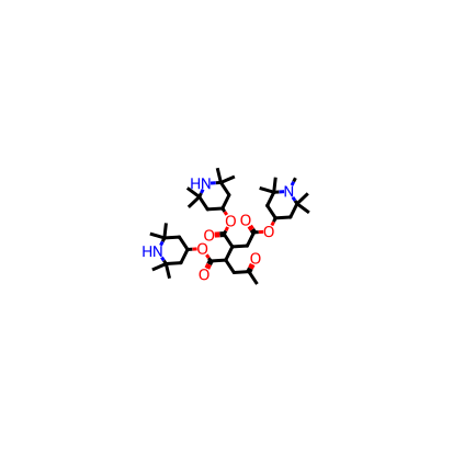 CC(=O)CC(C(=O)OC1CC(C)(C)NC(C)(C)C1)C(CC(=O)OC1CC(C)(C)N(C)C(C)(C)C1)C(=O)OC1CC(C)(C)NC(C)(C)C1